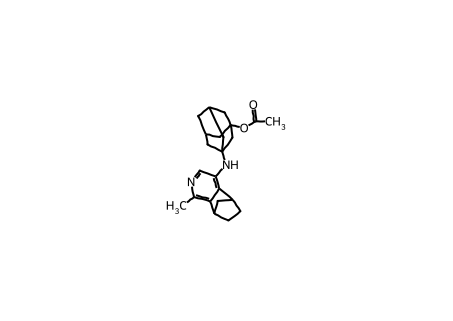 CC(=O)OC12CC3CC(CC(Nc4cnc(C)c5c4C4CCC5C4)(C3)C1)C2